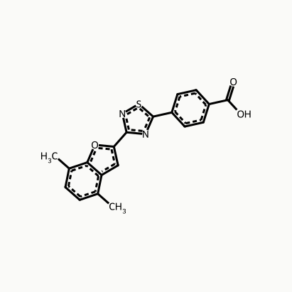 Cc1ccc(C)c2oc(-c3nsc(-c4ccc(C(=O)O)cc4)n3)cc12